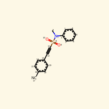 CN(c1ccccc1)S(=O)(=O)C#Cc1ccc(C#N)cc1